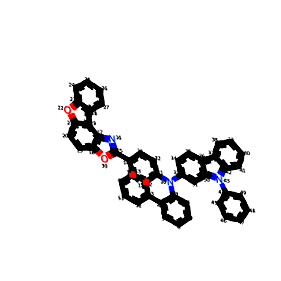 c1ccc(-c2ccccc2N(c2ccc(-c3nc4c(ccc5oc6ccccc6c54)o3)cc2)c2ccc3c4ccccc4n(-c4ccccc4)c3c2)cc1